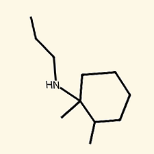 CCCNC1(C)CCCCC1C